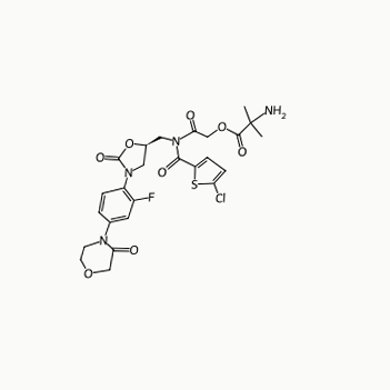 CC(C)(N)C(=O)OCC(=O)N(C[C@H]1CN(c2ccc(N3CCOCC3=O)cc2F)C(=O)O1)C(=O)c1ccc(Cl)s1